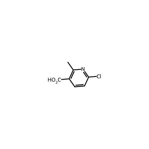 Cc1nc(Cl)ccc1C(=O)O